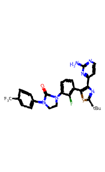 CC(C)(C)c1nc(-c2ccnc(N)n2)c(-c2cccc(N3CCN(c4ccc(C(F)(F)F)cc4)C3=O)c2F)s1